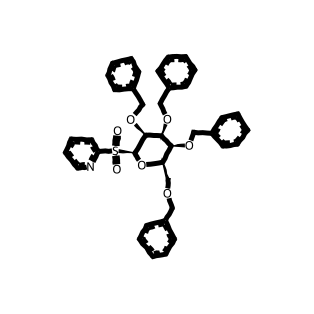 O=S(=O)(c1ccccn1)[C@@H]1O[C@H](COCc2ccccc2)[C@H](OCc2ccccc2)[C@H](OCc2ccccc2)[C@@H]1OCc1ccccc1